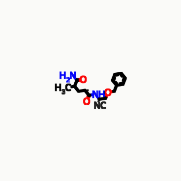 CC(C[CH]C(=O)N[C@@H](C#N)COCc1ccccc1)C(N)=O